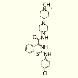 CN1CCC(N2CCN(NC(=O)[C@@H](NC(=S)Nc3ccc(Cl)cc3)c3ccccc3)CC2)CC1